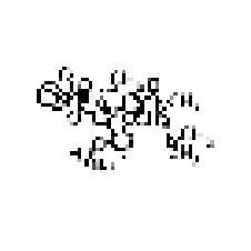 COc1cccc(OC)c1-c1cc(C(=O)NC2(C(=O)[O-])C3CC4CC(C3)CC2C4)nn1-c1ccc(C(=O)N(C)CCCN(C)C)cc1C(C)C.[Na+]